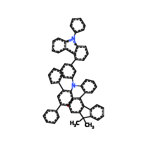 CC1(C)c2ccccc2-c2c(-c3ccccc3N(c3cccc(-c4cccc5c4c4ccccc4n5-c4ccccc4)c3)c3ccc(-c4ccccc4)cc3-c3ccccc3)cccc21